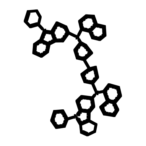 C1=CCCC(n2c3ccccc3c3cc(N(c4ccc(-c5ccc(N(c6ccc7c(c6)c6c(n7-c7ccccc7)C=CCC6)c6cccc7ccccc67)cc5)cc4)c4cccc5ccccc45)ccc32)=C1